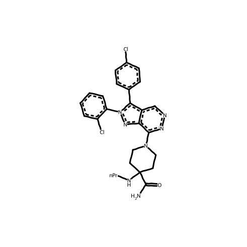 CCCNC1(C(N)=O)CCN(c2nncc3c(-c4ccc(Cl)cc4)n(-c4ccccc4Cl)nc23)CC1